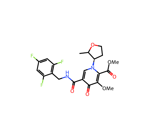 COC(=O)c1c(OC)c(=O)c(C(=O)NCc2c(F)cc(F)cc2F)cn1[C@@H]1CCOC1C